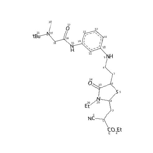 CCOC(=O)C(C#N)CC1SC(CCNc2cccc(NC(=O)CN(C)C(C)(C)C)c2)C(=O)N1CC